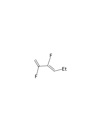 C=C(F)C(F)=CCC